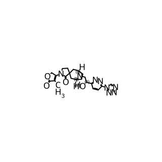 CC1=C(N2CCC3(C[C@H]4CC[C@H](C3)N4C[C@@H](O)c3ccc(-n4cnnn4)nn3)C2=O)COC1=O